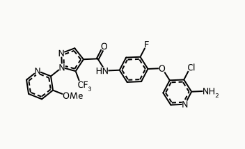 COc1cccnc1-n1ncc(C(=O)Nc2ccc(Oc3ccnc(N)c3Cl)c(F)c2)c1C(F)(F)F